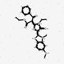 CCOC(=O)/C(C(=O)c1ccccc1)=c1\s/c(=C2\Sc3ccc(OC)cc3N2C)c(=O)n1CC